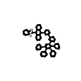 c1ccc(-c2cc(-c3cccc(-c4cccc(-c5c6ccccc6c(-c6nc7ccccc7s6)c6ccccc56)c4)c3)c(-c3ccccc3)c(-c3ccccc3)c2-c2ccccc2)cc1